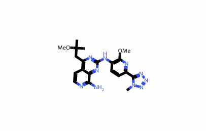 COc1nc(-c2nnnn2C)ccc1Nc1nc(CC(C)(C)OC)c2ccnc(N)c2n1